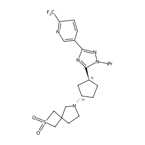 CC(C)n1nc(-c2ccc(C(F)(F)F)nc2)nc1[C@H]1CC[C@H](N2CCC3(C2)CS(=O)(=O)C3)C1